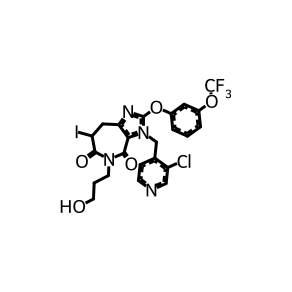 O=C1c2c(nc(Oc3cccc(OC(F)(F)F)c3)n2Cc2ccncc2Cl)CC(I)C(=O)N1CCCO